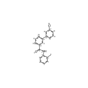 Cc1ccccc1NC(=O)c1cc(-c2cccc(Cl)c2)ncn1